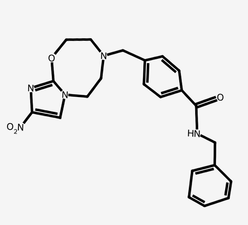 O=C(NCc1ccccc1)c1ccc(CN2CCOc3nc([N+](=O)[O-])cn3CC2)cc1